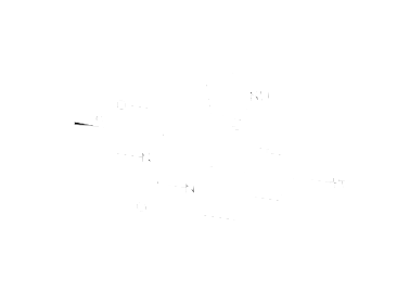 CC(C)c1cc2c(c([C@@H]3CCCN3)c1)CN(C(=O)N1CCO[C@H](C)C1)CC2